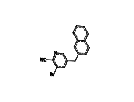 N#Cc1ncc(Cc2ccc3ccccc3c2)cc1Br